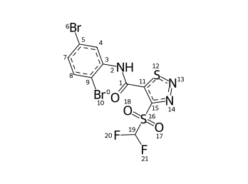 O=C(Nc1cc(Br)ccc1Br)c1snnc1S(=O)(=O)C(F)F